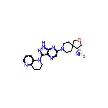 N[C@@H]1COCC12CCN(c1cnc3c(N4CCCc5ncccc54)n[nH]c3n1)CC2